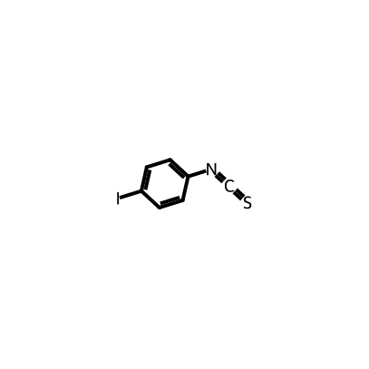 S=C=Nc1ccc(I)cc1